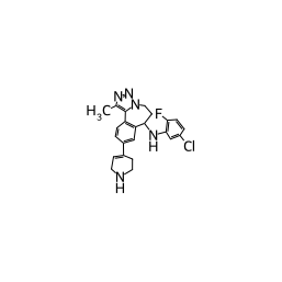 Cc1nnn2c1-c1ccc(C3=CCNCC3)cc1C(Nc1cc(Cl)ccc1F)CC2